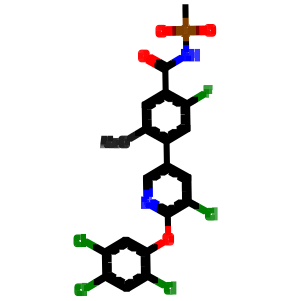 COc1cc(C(=O)NS(C)(=O)=O)c(F)cc1-c1cnc(Oc2cc(Cl)c(Cl)cc2Cl)c(Cl)c1